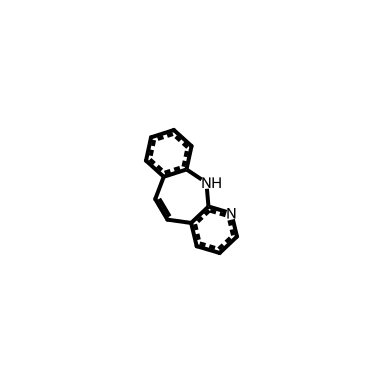 C1=Cc2cccnc2Nc2ccccc21